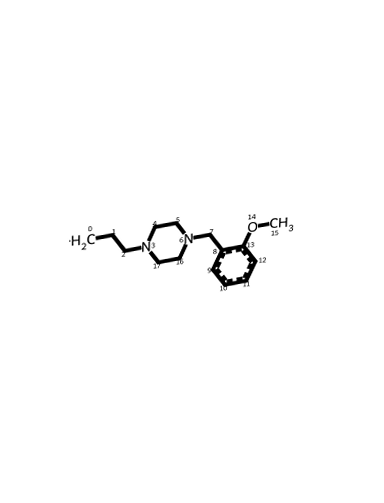 [CH2]CCN1CCN(Cc2ccccc2OC)CC1